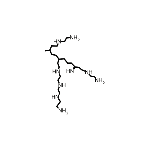 CC(CCNCCN)CCC(CCCC(=N)CCNCCN)CCNCCNCCNCCN